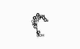 CN1CCc2cc(C(=O)Nc3cccc(-c4cccc(NC(=O)c5nc6c(n5C)CCN(CCC57CCC(C(=O)O)(CC5)C7)C6)c4Cl)c3Cl)ncc2C1